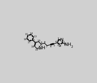 Nc1ncc(C#CCCC2CC(c3ccccc3)=CCN2)s1